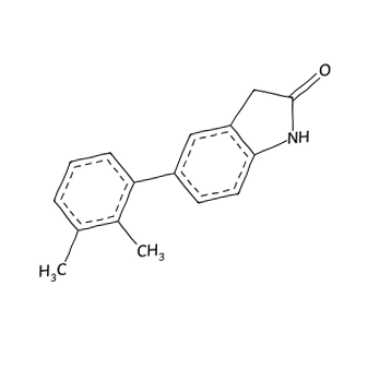 Cc1cccc(-c2ccc3c(c2)CC(=O)N3)c1C